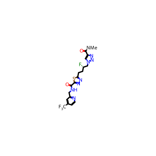 CNC(=O)c1cn(C[C@@H](F)CCc2nnc(C(=O)NCc3cc(C(F)(F)F)ccn3)s2)nn1